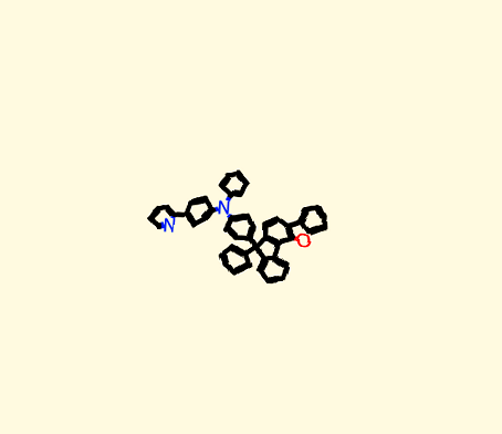 c1ccc(N(c2ccc(-c3ccccn3)cc2)c2ccc(C3(c4ccccc4)c4ccccc4-c4c3ccc3c4oc4ccccc43)cc2)cc1